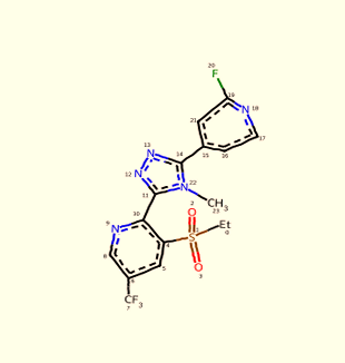 CCS(=O)(=O)c1cc(C(F)(F)F)cnc1-c1nnc(-c2ccnc(F)c2)n1C